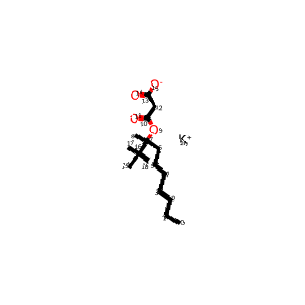 CCCCCCCC(C)(OC(=O)CC(=O)[O-])C(C)(C)C.[K+]